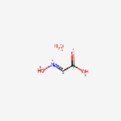 O.O=C(O)C=NO